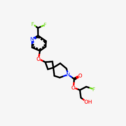 O=C(OC(CO)CF)N1CCC2(CC1)CC(Oc1ccc(C(F)F)nc1)C2